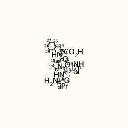 CC(C)[C@H](N)C(=O)N[C@@H](Cc1c[nH]cn1)C(=O)N1CCC[C@H]1C(=O)N[C@@H](Cc1ccccc1)C(=O)O